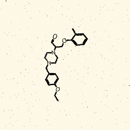 CCOc1ccc(CN2CCN(C(C=O)COc3ccccc3C)CC2)cc1